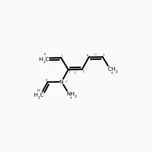 C=C/C(=C\C=C/C)N(N)C=C